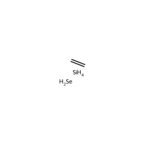 C=C.[SeH2].[SiH4]